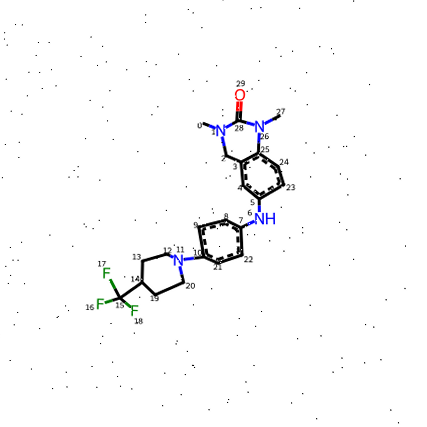 CN1Cc2cc(Nc3ccc(N4CCC(C(F)(F)F)CC4)cc3)ccc2N(C)C1=O